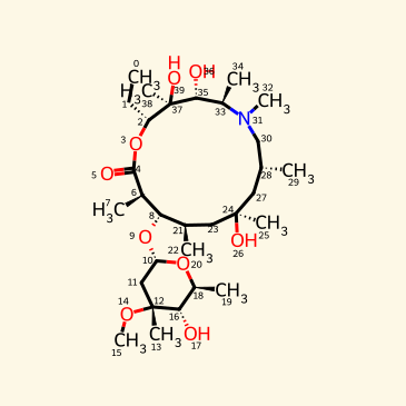 CC[C@H]1OC(=O)[C@H](C)[C@@H](O[C@H]2C[C@@](C)(OC)[C@@H](O)[C@H](C)O2)[C@H](C)C[C@](C)(O)C[C@@H](C)CN(C)[C@H](C)[C@@H](O)[C@]1(C)O